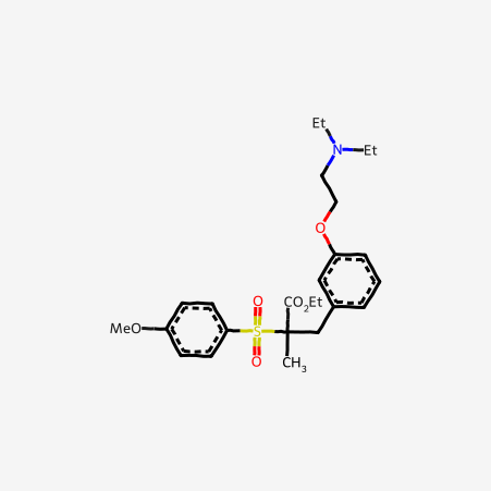 CCOC(=O)C(C)(Cc1cccc(OCCN(CC)CC)c1)S(=O)(=O)c1ccc(OC)cc1